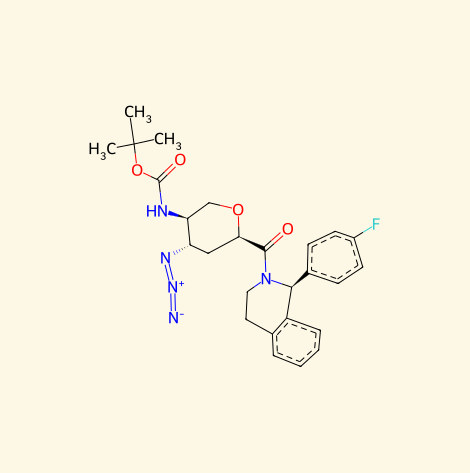 CC(C)(C)OC(=O)N[C@H]1CO[C@@H](C(=O)N2CCc3ccccc3[C@@H]2c2ccc(F)cc2)C[C@@H]1N=[N+]=[N-]